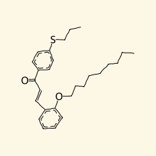 CCCCCCCCCOc1ccccc1C=CC(=O)c1ccc(SCCC)cc1